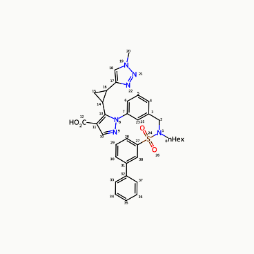 CCCCCCN(Cc1cccc(-n2ncc(C(=O)O)c2C2CC2c2cn(C)nn2)c1)S(=O)(=O)c1cccc(-c2ccccc2)c1